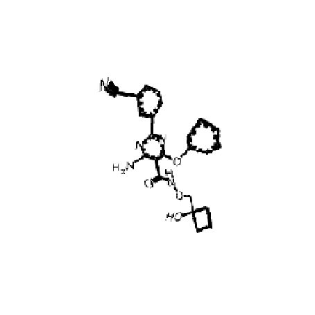 N#Cc1cccc(-c2nc(N)c(C(=O)NOCC3(O)CCC3)c(Oc3ccccc3)n2)c1